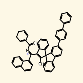 C=C(/N=C(\C1=C(C)C2(c3ccccc31)c1ccccc1-c1ccc(-c3ccc(-c4ccccc4)cc3)cc12)c1cccc2ccccc12)C1=CCCC=C1